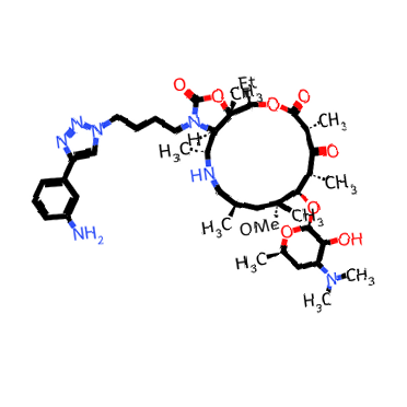 CC[C@H]1OC(=O)[C@H](C)C(=O)[C@H](C)[C@@H](O[C@@H]2O[C@H](C)CC(N(C)C)C2O)[C@](C)(OC)C[C@@H](C)CN[C@H](C)[C@H]2N(CCCCn3cc(-c4cccc(N)c4)nn3)C(=O)O[C@]12C